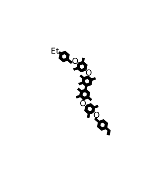 C=Cc1ccc(COc2c(C)cc(Oc3c(C)cc(-c4cc(C)c(Oc5cc(C)c(OCc6ccc(CC)cc6)c(C)c5)c(C)c4C)c(C)c3C)cc2C)cc1